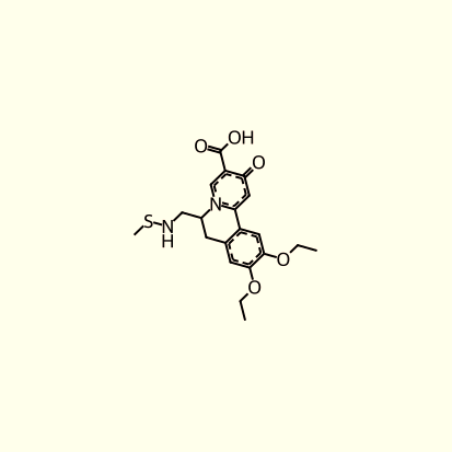 CCOc1cc2c(cc1OCC)-c1cc(=O)c(C(=O)O)cn1C(CNSC)C2